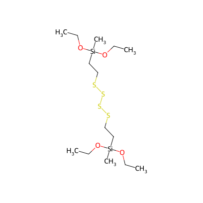 CCO[Si](C)(CCSSSSCC[Si](C)(OCC)OCC)OCC